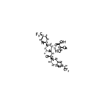 C[C@@H]1CN(c2ccc(C(F)(F)F)cn2)C[C@H](C)N1CC(=O)N1CCc2nn(CC(F)(F)F)cc2C1.O=C(O)C(=O)O